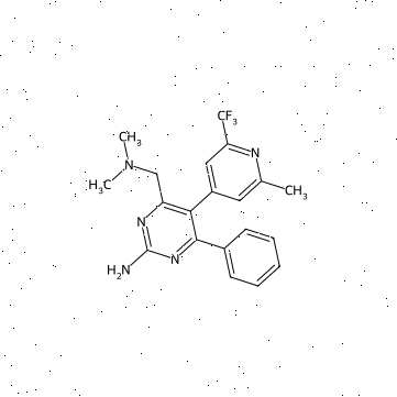 Cc1cc(-c2c(CN(C)C)nc(N)nc2-c2ccccc2)cc(C(F)(F)F)n1